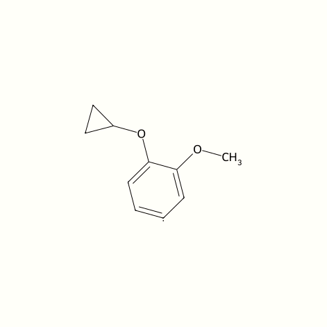 COc1c[c]ccc1OC1CC1